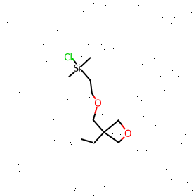 CCC1(COCC[Si](C)(C)Cl)COC1